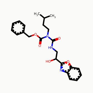 CC(C)CCN(C(=O)NCC(O)c1nc2ccccc2o1)C(=O)OCc1ccccc1